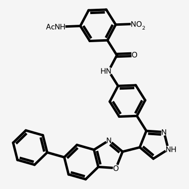 CC(=O)Nc1ccc([N+](=O)[O-])c(C(=O)Nc2ccc(-c3n[nH]cc3-c3nc4cc(-c5ccccc5)ccc4o3)cc2)c1